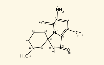 Cc1cc(N)c(=O)n2c1C(=O)NC21CCCN(C)C1